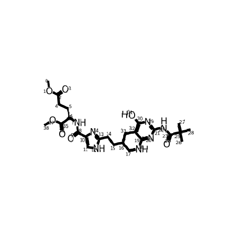 COC(=O)CC[C@@H](NC(=O)c1c[nH]c(CCC2CNc3nc(NC(=O)C(C)(C)C)nc(O)c3C2)n1)C(=O)OC